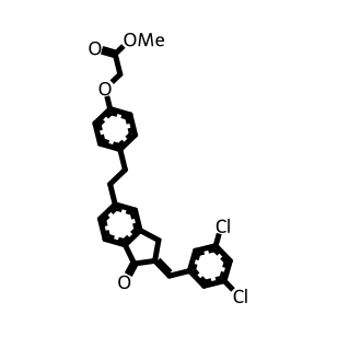 COC(=O)COc1ccc(CCc2ccc3c(c2)C/C(=C\c2cc(Cl)cc(Cl)c2)C3=O)cc1